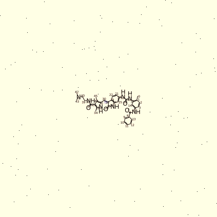 Cc1ccc(NC(=O)c2ccccc2)cc1NC(=O)Nc1ccc2c(c1)NC(=O)/C2=C\c1[nH]c(C)c(C(=O)NCCN(C)C)c1C